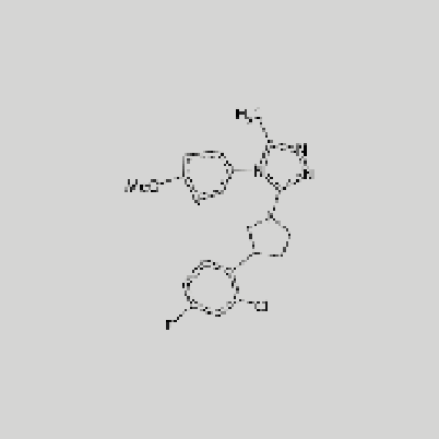 COc1ccc(-n2c(C)nnc2N2CCC(c3ccc(F)cc3Cl)C2)cn1